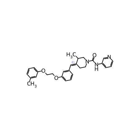 Cc1cccc(OCCOc2cccc(/C=C3\CCN(C(=O)Nc4cccnc4)CC3C)c2)c1